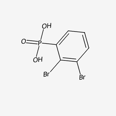 O=P(O)(O)c1cccc(Br)c1Br